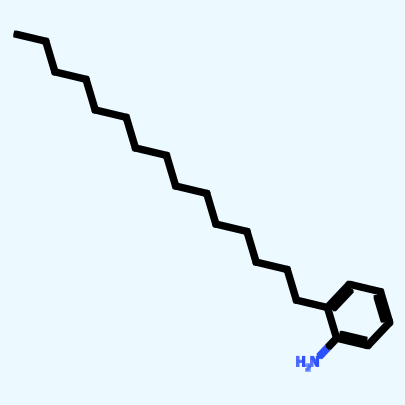 CCCCCCCCCCCCCCCc1ccccc1N